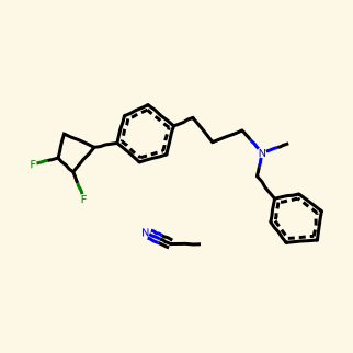 CC#N.CN(CCCc1ccc(C2CC(F)C2F)cc1)Cc1ccccc1